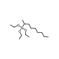 CCCCCCCC(C)[Si](OCC)(OCC)OCC